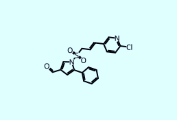 O=Cc1cc(-c2ccccc2)n(S(=O)(=O)CC=Cc2ccc(Cl)nc2)c1